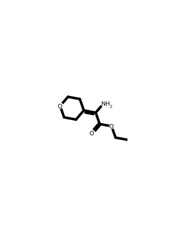 CCOC(=O)C(N)=C1CCOCC1